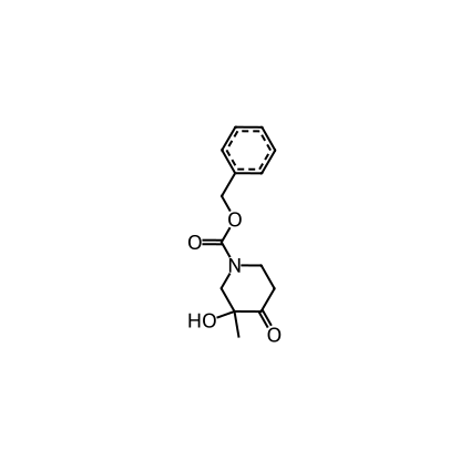 CC1(O)CN(C(=O)OCc2ccccc2)CCC1=O